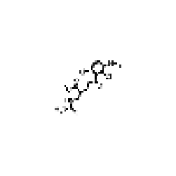 COC(=O)[C@@H](CCC(=O)c1c(Cl)ccc(N)c1Cl)CNC(N)=O